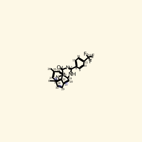 CC1=N/N2C(=O)N=C(c3ccc(C(F)(F)F)cc3)NC2/C=C(c2ccc(C)cc2)/C=C\1